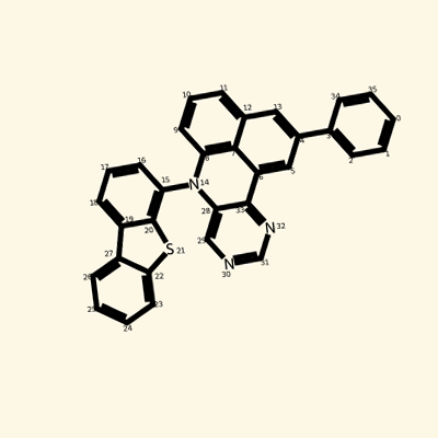 c1ccc(-c2cc3c4c(cccc4c2)N(c2cccc4c2sc2ccccc24)c2cncnc2-3)cc1